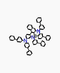 c1ccc(-c2ccc(N(c3ccc(-c4ccccc4)cc3)c3ccc4c(c3)N(c3cccc(-c5ccccc5)c3)B3c5ccc(-c6ccccc6)cc5N(c5cccc(-c6ccccc6)c5)c5cc6ccccc6c-4c53)cc2)cc1